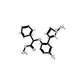 COC(=O)C(Oc1ccc(Cl)cc1-c1ccn(C)n1)c1ccccc1